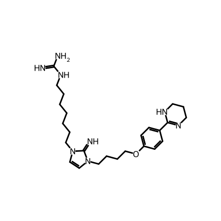 N=C(N)NCCCCCCCn1ccn(CCCCOc2ccc(C3=NCCCN3)cc2)c1=N